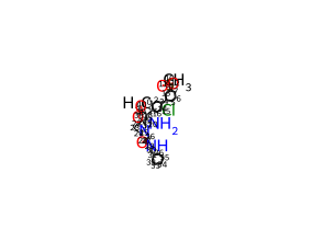 Cc1cc(-c2cccc(S(C)(=O)=O)c2)c(Cl)cc1C1=C(N)C2(CCCN(CC(=O)NCc3ccccc3)C2)OC1=O